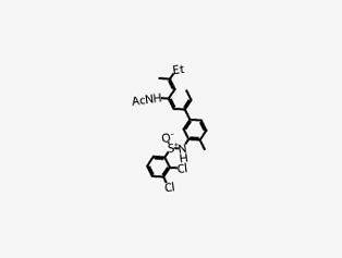 C\C=C(/C=C(\C=C(/C)CC)NC(C)=O)c1ccc(C)c(N[S+]([O-])c2cccc(Cl)c2Cl)c1